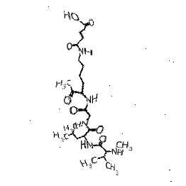 CNC(C(=O)NC(CC(C)C)C(=O)NCC(=O)NC(CCCCNC(=O)CCC(=O)O)C(C)=O)C(C)C